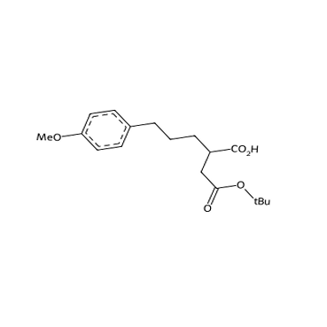 COc1ccc(CCCC(CC(=O)OC(C)(C)C)C(=O)O)cc1